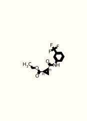 CCOC(=O)[C@@H]1C[C@H]1C(=O)Nc1cccc(C(F)(F)F)c1